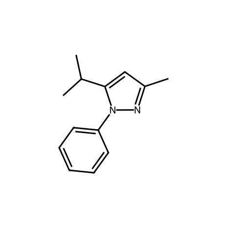 Cc1cc(C(C)C)n(-c2ccccc2)n1